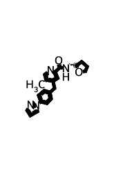 Cc1cnc(C(=O)NC[C@@H]2CCCO2)cc1Cc1ccc(-n2cccn2)cc1